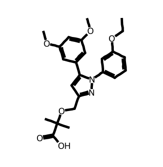 CCOc1cccc(-n2nc(COC(C)(C)C(=O)O)cc2-c2cc(OC)cc(OC)c2)c1